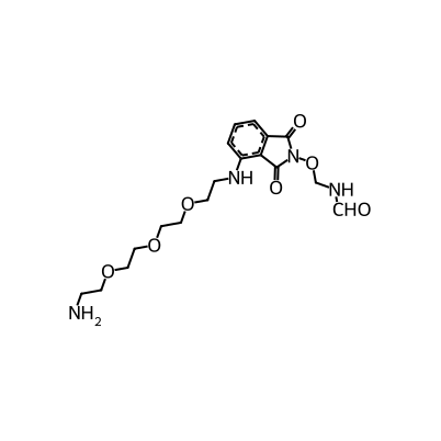 NCCOCCOCCOCCNc1cccc2c1C(=O)N(OCNC=O)C2=O